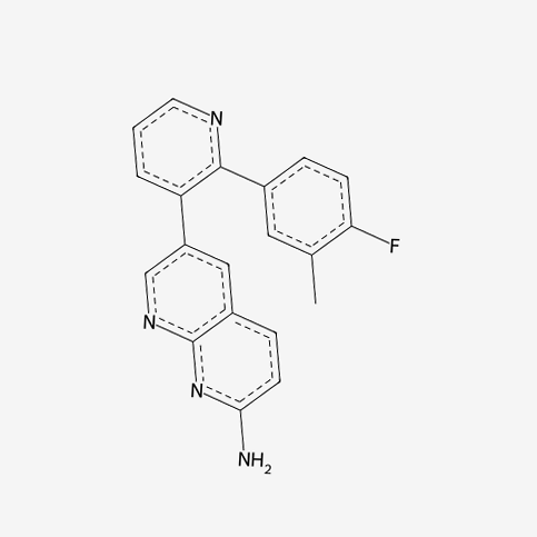 Cc1cc(-c2ncccc2-c2cnc3nc(N)ccc3c2)ccc1F